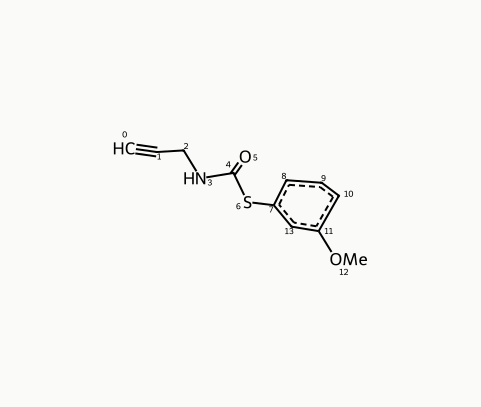 C#CCNC(=O)Sc1cccc(OC)c1